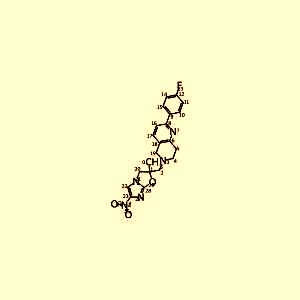 CC1(CN2CCc3nc(-c4ccc(F)cc4)ccc3C2)Cn2cc([N+](=O)[O-])nc2O1